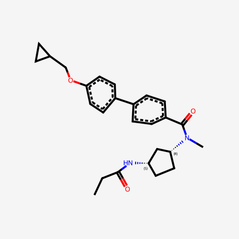 CCC(=O)N[C@H]1CC[C@@H](N(C)C(=O)c2ccc(-c3ccc(OCC4CC4)cc3)cc2)C1